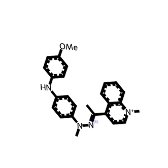 COc1ccc(Nc2ccc(N(C)/N=C(\C)c3cc[n+](C)c4ccccc34)cc2)cc1